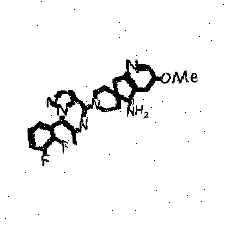 COc1cnc2c(c1)[C@@H](N)C1(CCN(c3nc(C)c(-c4cccc(F)c4F)n4nccc34)CC1)C2